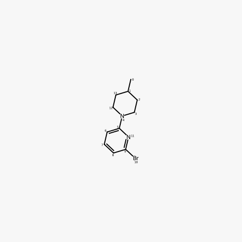 CC1CCN(c2cccc(Br)n2)CC1